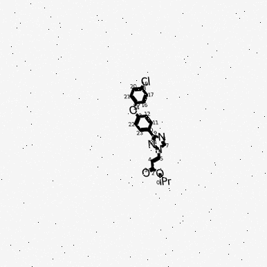 CC(C)OC(=O)C=Cn1cnc(-c2ccc(Oc3ccc(Cl)cc3)cc2)n1